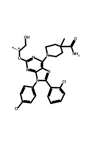 C[C@H](CO)Oc1nc(N2CCC(C)(C(N)=O)CC2)c2nc(-c3ccccc3Cl)n(-c3ccc(Cl)cc3)c2n1